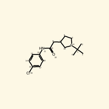 CC(C)(C)N1CCC(CC(=O)Nc2ccc(Cl)cc2)C1